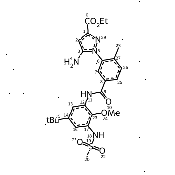 CCOC(=O)c1cc(N)n(-c2cc(C(=O)Nc3cc(C(C)(C)C)cc(NS(C)(=O)=O)c3OC)ccc2C)n1